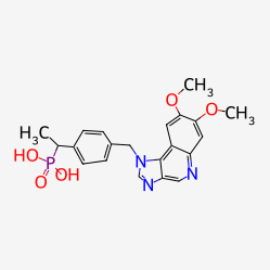 COc1cc2ncc3ncn(Cc4ccc(C(C)P(=O)(O)O)cc4)c3c2cc1OC